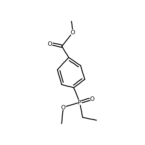 CCP(=O)(OC)c1ccc(C(=O)OC)cc1